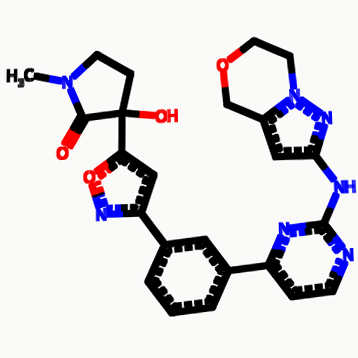 CN1CCC(O)(c2cc(-c3cccc(-c4ccnc(Nc5cc6n(n5)CCOC6)n4)c3)no2)C1=O